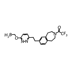 BCOc1ccc(CCc2ccc3c(c2)CCN(C(=O)C(F)(F)F)CC3)nn1